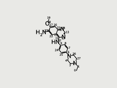 CCN1CCN(c2ccc(Nc3ncnc4cc(OC)c(N)cc34)cc2)CC1